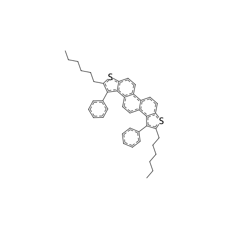 CCCCCCc1sc2ccc3c4ccc5sc(CCCCCC)c(-c6ccccc6)c5c4ccc3c2c1-c1ccccc1